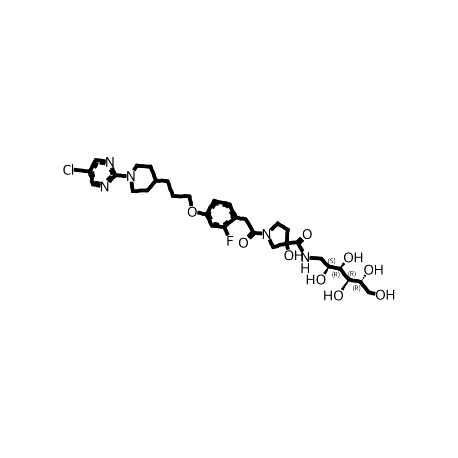 O=C(Cc1ccc(OCCCC2CCN(c3ncc(Cl)cn3)CC2)cc1F)N1CCC(O)(C(=O)NC[C@H](O)[C@@H](O)[C@H](O)[C@H](O)CO)C1